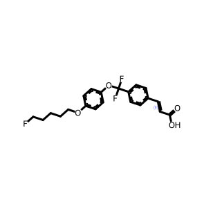 O=C(O)/C=C/c1ccc(C(F)(F)Oc2ccc(OCCCCCF)cc2)cc1